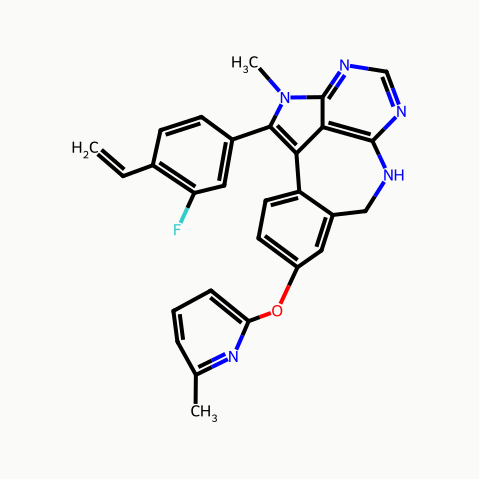 C=Cc1ccc(-c2c3c4c(ncnc4n2C)NCc2cc(Oc4cccc(C)n4)ccc2-3)cc1F